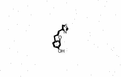 Oc1ccc2c(c1)O/C(=C\c1cscn1)C2